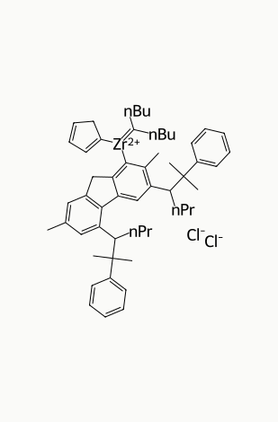 CCCC[C](CCCC)=[Zr+2]([C]1=CC=CC1)[c]1c(C)c(C(CCC)C(C)(C)c2ccccc2)cc2c1Cc1cc(C)cc(C(CCC)C(C)(C)c3ccccc3)c1-2.[Cl-].[Cl-]